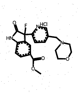 COC(=O)c1ccc2c(c1)C(F)(c1ccc(CN3CCOCC3)cn1)C(=O)N2.Cl